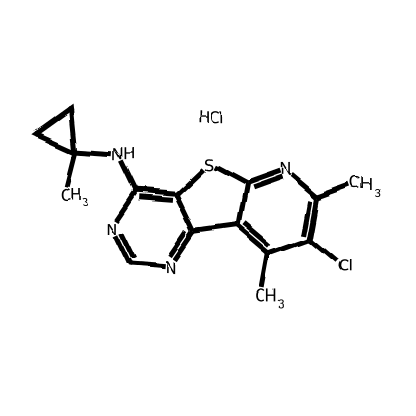 Cc1nc2sc3c(NC4(C)CC4)ncnc3c2c(C)c1Cl.Cl